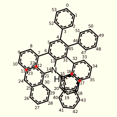 c1ccc(-c2cc(-c3ccccc3)c(N(c3ccccc3)c3cccc4ccccc34)c(-c3cccc4c3[nH]c3ccccc34)c2-c2ccccc2)cc1